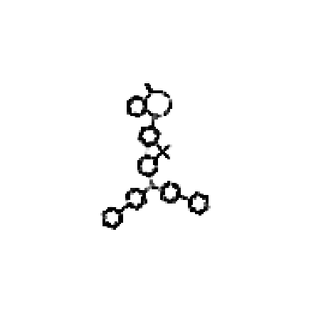 C=C1CCCCN(c2ccc3c(c2)C(C)(C)c2cc(N(c4ccc(-c5ccccc5)cc4)c4ccc(-c5ccccc5)cc4)ccc2-3)c2ccccc21